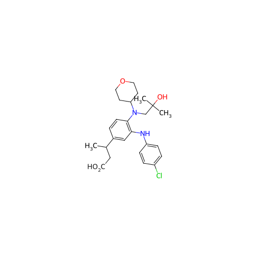 CC(CC(=O)O)c1ccc(N(CC(C)(C)O)C2CCOCC2)c(Nc2ccc(Cl)cc2)c1